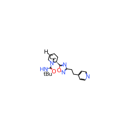 CC(C)(C)NC(=O)N1C[C@H]2CC[C@]1(c1nc(CCc3ccncc3)no1)CC2